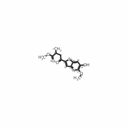 COC(=O)C(C)CC(=O)c1cc2nc(OC)c(O)cc2s1